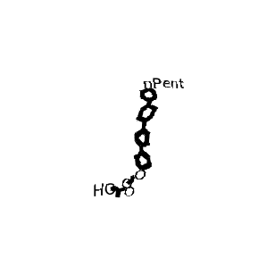 C=C(CO)C(=O)OCCOc1ccc(-c2ccc(C3CCC(C4CCC(CCCCC)CC4)CC3)cc2)cc1